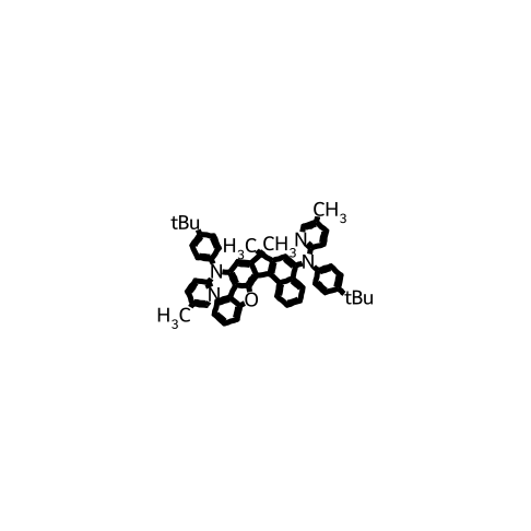 Cc1ccc(N(c2ccc(C(C)(C)C)cc2)c2cc3c(c4ccccc24)-c2c(cc(N(c4ccc(C(C)(C)C)cc4)c4ccc(C)cn4)c4c2oc2ccccc24)C3(C)C)nc1